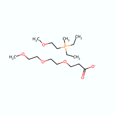 CC[P+](C)(CC)CCOC.COCCOCCOCCC(=O)[O-]